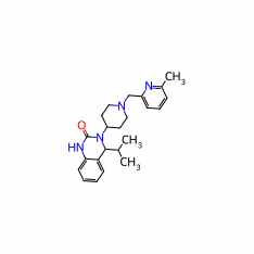 Cc1cccc(CN2CCC(N3C(=O)Nc4ccccc4C3C(C)C)CC2)n1